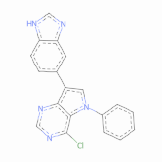 Clc1ncnc2c(-c3ccc4[nH]cnc4c3)cn(-c3ccccc3)c12